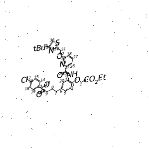 CCOC(=O)COc1ccc(CCCS(=O)(=O)c2ccc(Cl)cc2)cc1NC(=O)c1cccc(OCc2nc(C(C)(C)C)cs2)n1